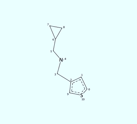 c1cc(C[N]CC2CC2)cs1